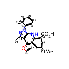 COc1ccc(Nc2c(-c3ccco3)c(C)nn2-c2ccccc2C)c(C(=O)O)c1